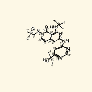 CC(C)(C)Nc1nc(Nc2cc(C(C)(C)O)ncn2)cc2ccn(CCS(C)(=O)=O)c(=O)c12